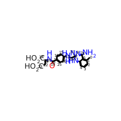 Cc1cccc2c1C(N)=NC(N)(CNc1ccc(C(=O)N[C@@H](CC(=O)O)C(=O)O)cc1)N2